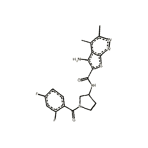 Cc1nnc2sc(C(=O)NC3CCN(C(=O)c4ccc(F)cc4F)C3)c(N)c2c1C